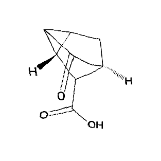 O=C(O)C1[C@H]2C3C[C@@H]1C(=O)C32